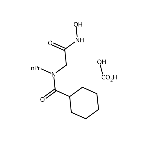 CCCN(CC(=O)NO)C(=O)C1CCCCC1.O=C(O)O